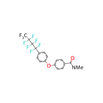 CNC(=O)c1ccc(Oc2ccc(C(F)(F)C(F)(F)C(F)(F)C(F)(F)F)cc2)cc1